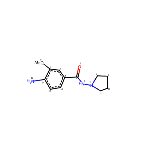 COc1cc(C(=O)NN2CCCC2)ccc1N